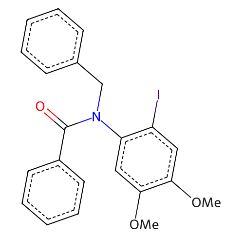 COc1cc(I)c(N(Cc2ccccc2)C(=O)c2ccccc2)cc1OC